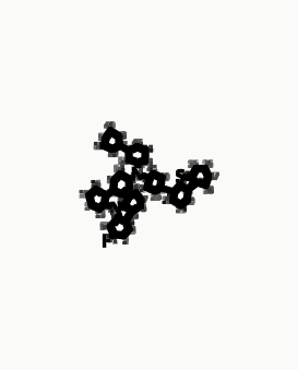 Fc1ccc2c3ccccc3n(-c3ccccc3-c3ccc(N(c4ccc(-c5cccc6c5sc5ccccc56)cc4)c4cccc(-c5ccccc5)c4)cc3)c2c1